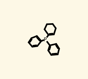 C1=C(P(c2ccccc2)c2ccccc2)CCCC1